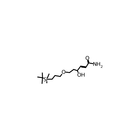 CC(C)(C)[Si](C)(C)CCCOCCC(O)C=CC(N)=O